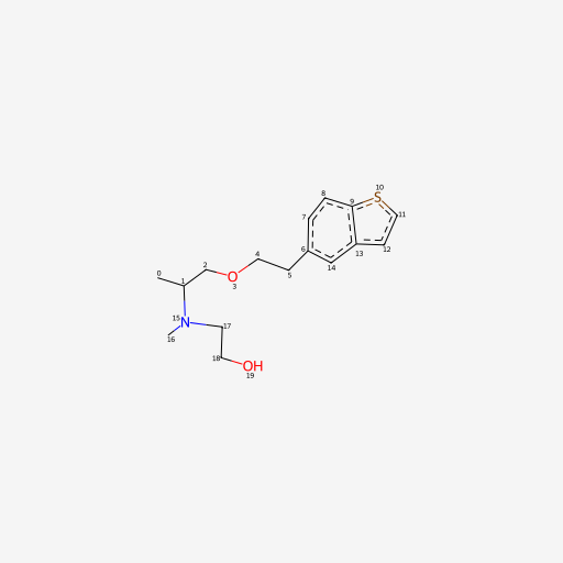 CC(COCCc1ccc2sccc2c1)N(C)CCO